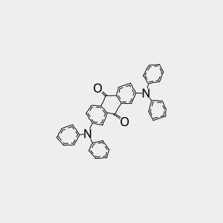 O=C1c2ccc(N(c3ccccc3)c3ccccc3)cc2C(=O)c2cc(N(c3ccccc3)c3ccccc3)ccc21